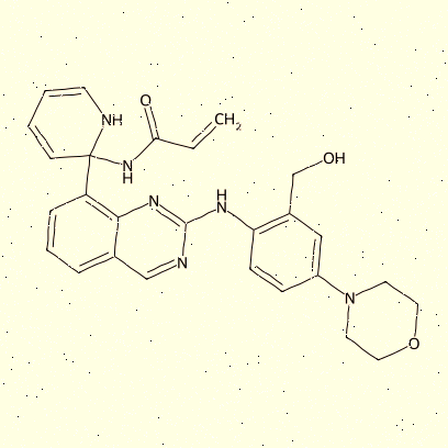 C=CC(=O)NC1(c2cccc3cnc(Nc4ccc(N5CCOCC5)cc4CO)nc23)C=CC=CN1